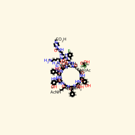 CC(=O)NCCCC[C@H]1C(=O)N[C@@H](Cc2c[nH]c3ccc(O)cc23)C(=O)N[C@@H](Cc2c[nH]c3ccccc23)C(=O)N[C@@H]([C@H](C)O)C(=O)N(C)[C@H](C(=O)N(C)[C@@H](Cc2ccc(F)cc2)C(=O)N[C@@H](CCCCNC(=O)N2CCN(CC(=O)O)CC2)C(=O)N[C@H](CCCCN)C(N)=O)CNC(=O)CC[C@H](NC(C)=O)C(=O)N[C@@H](Cc2ccc(O)cc2)C(=O)N[C@@H](CO)C(=O)N(C)[C@@H](CCc2ccccc2)C(=O)N1C.O=C(O)C(F)(F)F